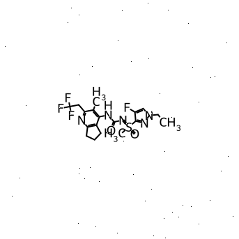 CCn1cc(F)c(S(C)(=O)=NC(=O)Nc2c(C)c(CC(F)(F)F)nc3c2CCC3)n1